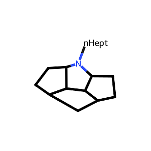 CCCCCCCN1C2CCC3CC4CCC1C4C32